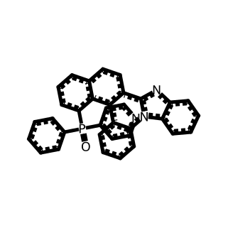 O=P(c1ccccc1)(c1ccncc1)c1cccc2ccc3c(c4ccccc4n4c5ccccc5nc34)c12